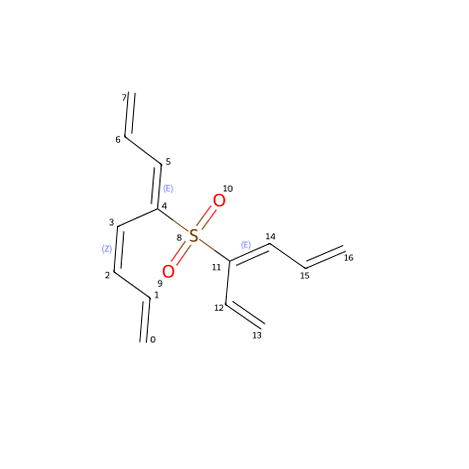 C=C/C=C\C(=C/C=C)S(=O)(=O)/C(C=C)=C/C=C